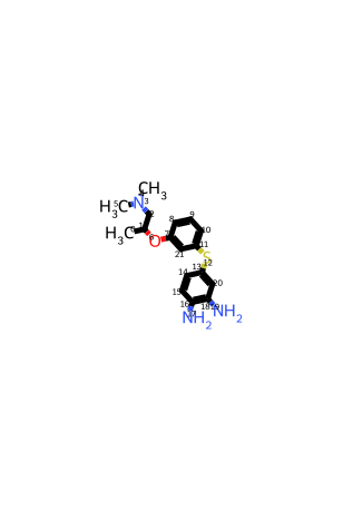 CC(CN(C)C)Oc1cccc(Sc2ccc(N)c(N)c2)c1